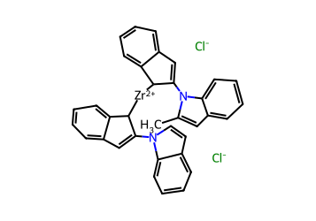 Cc1cc2ccccc2n1C1=Cc2ccccc2[CH]1[Zr+2][CH]1C(n2ccc3ccccc32)=Cc2ccccc21.[Cl-].[Cl-]